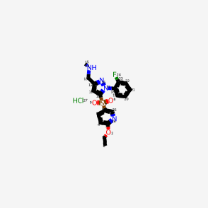 CCOc1ccc(S(=O)(=O)c2cc(CNC)nn2-c2ccccc2F)cn1.Cl